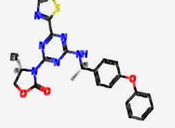 CC[C@H]1COC(=O)N1c1nc(N[C@@H](C)c2ccc(Oc3ccccc3)cc2)nc(-c2nccs2)n1